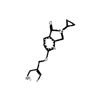 NCC(=CF)COc1ccc2c(n1)CN(C1CC1)C2=O